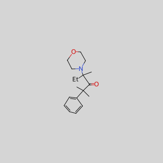 CCC(C)(C(=O)C(C)(C)c1ccccc1)N1CCOCC1